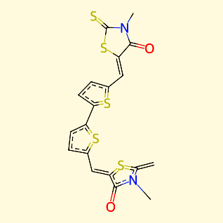 C=c1s/c(=C\c2ccc(-c3ccc(/C=C4\SC(=S)N(C)C4=O)s3)s2)c(=O)n1C